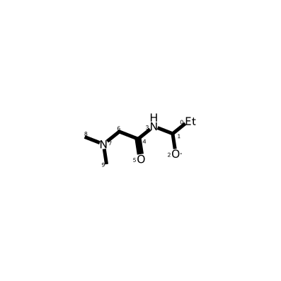 CCC([O])NC(=O)CN(C)C